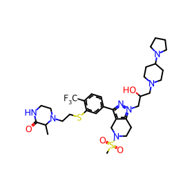 CC1C(=O)NCCN1CCSc1cc(-c2nn(CC(O)CN3CCC(N4CCCC4)CC3)c3c2CN(S(C)(=O)=O)CC3)ccc1C(F)(F)F